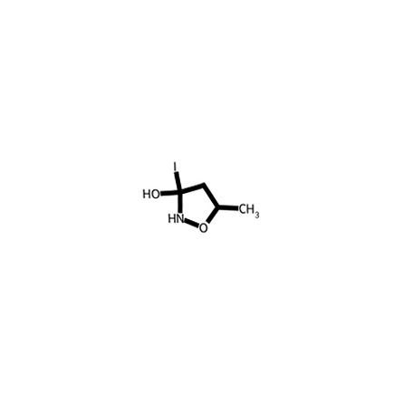 CC1CC(O)(I)NO1